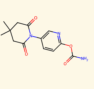 CC1(C)CC(=O)N(c2ccc(OC(N)=O)nc2)C(=O)C1